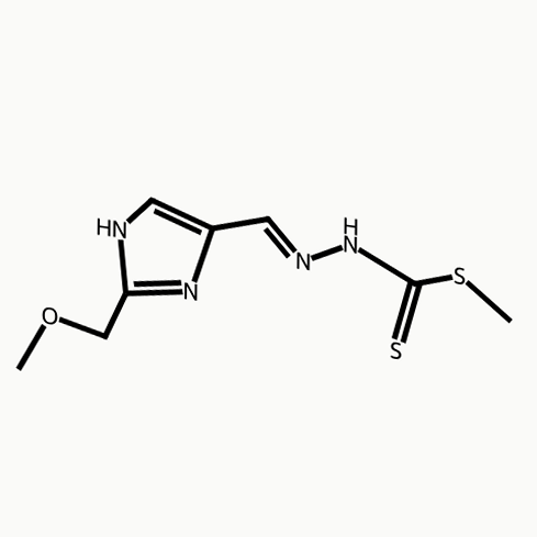 COCc1nc(C=NNC(=S)SC)c[nH]1